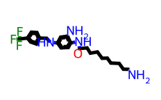 NCCCCCCCCCC(=O)Nc1ccc(NCc2ccc(C(F)(F)F)cc2)cc1N